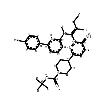 CN(/C(=C(/I)CI)n1nc(C2CCN(C(=O)OC(C)(C)C)CC2)ccc1=N)c1cccc(-c2ccc(F)cc2)n1